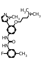 Cc1ccc(F)c(NC(=O)Nc2ccc(OCCCN(C)C)c(-c3ccnn3C)c2)c1